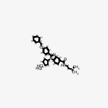 CN(C)CCNC(=O)c1ccc2c(c1)nc(-c1ccc(OCc3ccccc3)cc1)n2C1CCCC1.Cl.Cl